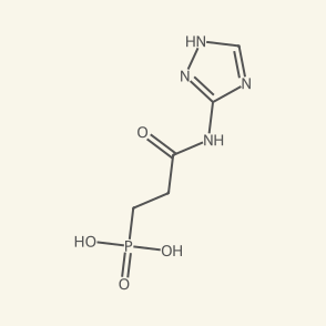 O=C(CCP(=O)(O)O)Nc1nc[nH]n1